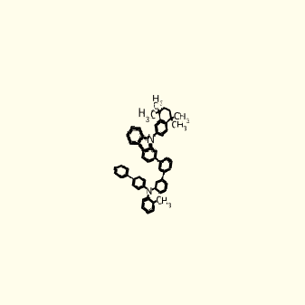 Cc1ccccc1N(c1ccc(-c2ccccc2)cc1)c1cccc(-c2cccc(-c3ccc4c5ccccc5n(-c5ccc6c(c5)C(C)(C)CCC6(C)C)c4c3)c2)c1